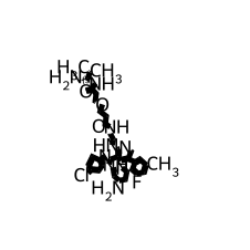 Cc1cc(F)cc(-c2cnc(NCCNC(=O)CCOCCC(=O)N[C@H](CN)C(C)C)c(-c3nc4ccc(Cl)cc4[nH]3)c2N2CCC(N)CC2)c1